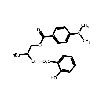 CCCCC(CC)COC(=O)c1ccc(N(C)C)cc1.O=C(O)c1ccccc1O